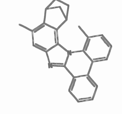 Cc1cc2nc3c4ccccc4c4cccc(C)c4n3c2c2c1C1CCC2C1